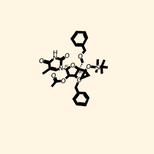 CC(=O)OC1C(OCc2ccccc2)[C@](COCc2ccccc2)(C2(O[Si](C)(C)C(C)(C)C)CC2)O[C@H]1n1cc(C)c(=O)[nH]c1=O